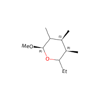 CCC1O[C@@H](OC)C(C)[C@@H](C)[C@H]1C